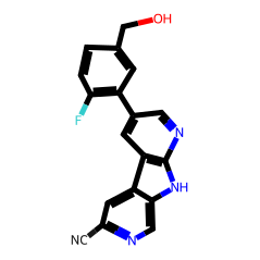 N#Cc1cc2c(cn1)[nH]c1ncc(-c3cc(CO)ccc3F)cc12